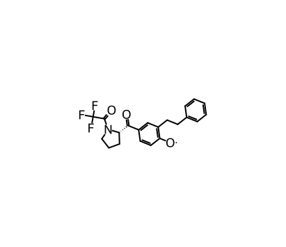 [O]c1ccc(C(=O)[C@@H]2CCCN2C(=O)C(F)(F)F)cc1CCc1ccccc1